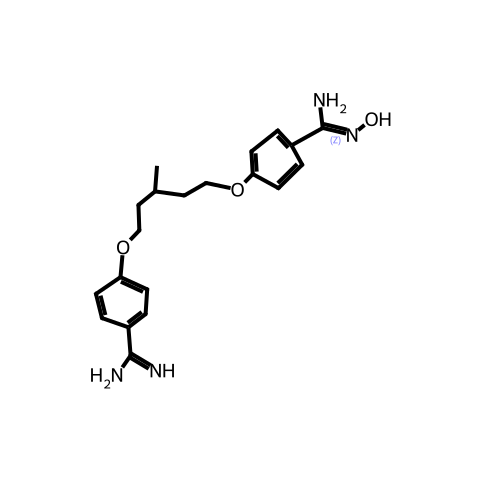 CC(CCOc1ccc(C(=N)N)cc1)CCOc1ccc(/C(N)=N/O)cc1